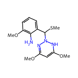 COC1=CC(OC)=NN(C(SC)c2cccc(OC)c2N)N1